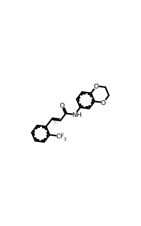 O=C(/C=C/c1ccccc1C(F)(F)F)Nc1ccc2c(c1)OCCO2